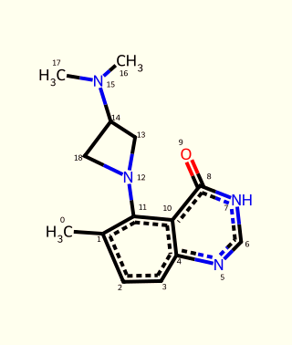 Cc1ccc2nc[nH]c(=O)c2c1N1CC(N(C)C)C1